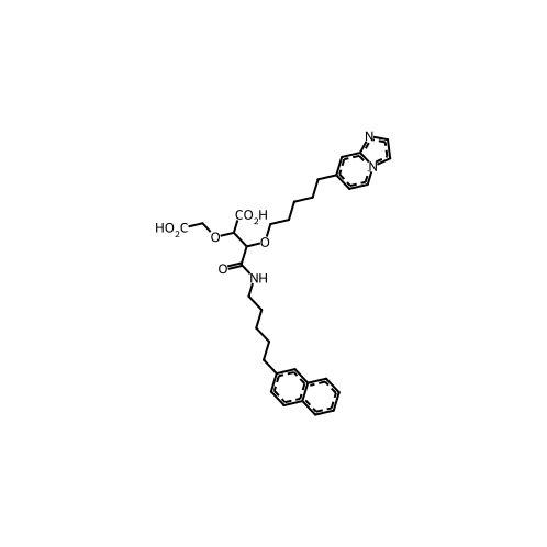 O=C(O)COC(C(=O)O)C(OCCCCCc1ccn2ccnc2c1)C(=O)NCCCCCc1ccc2ccccc2c1